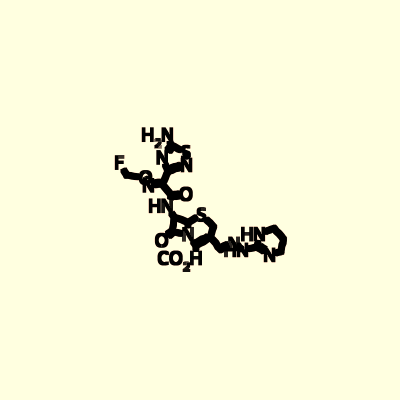 Nc1nc(C(=NOCF)C(=O)NC2C(=O)N3C(C(=O)O)=C(C=NNC4=NCCCN4)CSC23)ns1